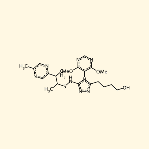 COc1ncnc(OC)c1-n1c(CCCCO)nnc1NSC(C)C(C)c1cnc(C)cn1